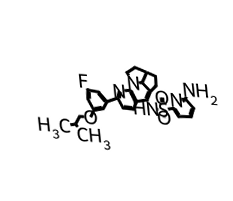 CC(C)COc1cc(F)cc(-c2ccc3c(n2)N2CCC4CCC(=C3NS(=O)(=O)c3cccc(N)n3)C42)c1